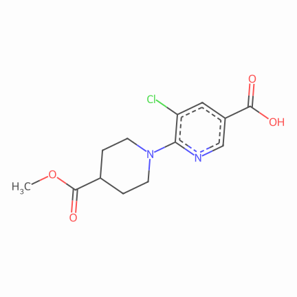 COC(=O)C1CCN(c2ncc(C(=O)O)cc2Cl)CC1